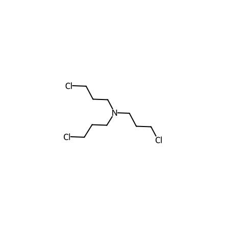 ClCCCN(CCCCl)CCCCl